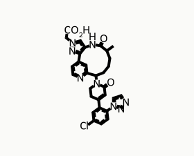 CC1CCCC(N2CCC(c3cc(Cl)ccc3-n3ccnn3)=CC2=O)c2cc(ccn2)-c2nn(CC(=O)O)cc2NC1=O